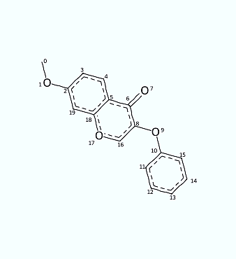 COc1ccc2c(=O)c(Oc3ccccc3)coc2c1